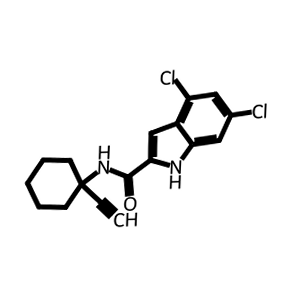 C#CC1(NC(=O)c2cc3c(Cl)cc(Cl)cc3[nH]2)CCCCC1